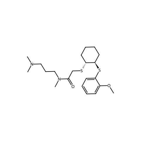 COc1ccccc1S[C@@H]1CCCC[C@H]1SCC(=O)N(C)CCCN(C)C